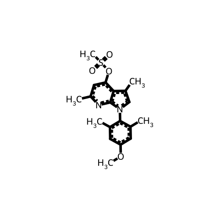 COc1cc(C)c(-n2cc(C)c3c(OS(C)(=O)=O)cc(C)nc32)c(C)c1